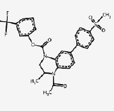 CC(=O)N1c2ccc(-c3ccc(S(C)(=O)=O)cc3)cc2N(C(=O)Oc2cccc(C(F)(F)F)c2)CC1C